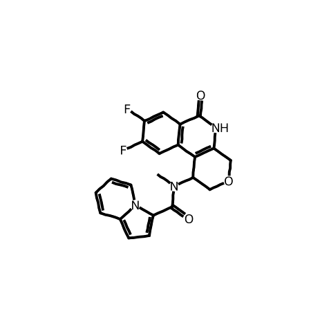 CN(C(=O)c1ccc2ccccn12)C1COCc2[nH]c(=O)c3cc(F)c(F)cc3c21